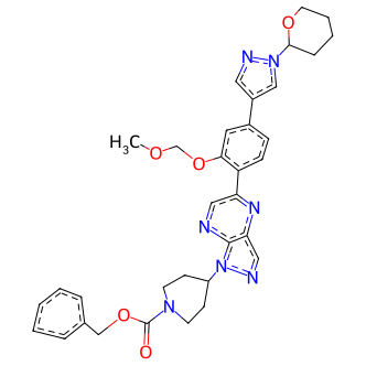 COCOc1cc(-c2cnn(C3CCCCO3)c2)ccc1-c1cnc2c(cnn2C2CCN(C(=O)OCc3ccccc3)CC2)n1